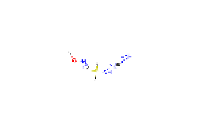 CN/C=N/NS(C)(C)/C=N/OC